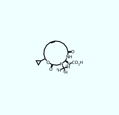 [2H]C([2H])([2H])N1CC(=O)OC(C2CC2)CCC/C=C\CCCC(=O)N/C1=N\C(=O)O